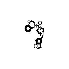 O=C(N1CCN(Cc2ccc3c(c2)CCO3)CC1)N1CCSc2ccccc2C1